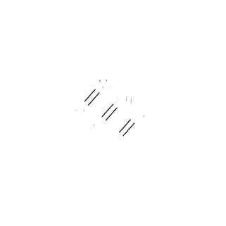 [O]=[Ce].[O]=[Cu].[O]=[Mn]